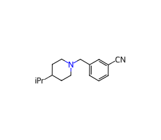 CC(C)C1CCN(Cc2cccc(C#N)c2)CC1